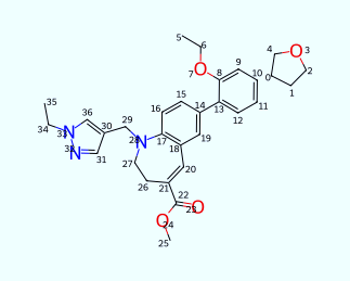 C1CCOC1.CCOc1ccccc1-c1ccc2c(c1)C=C(C(=O)OC)CCN2Cc1cnn(CC)c1